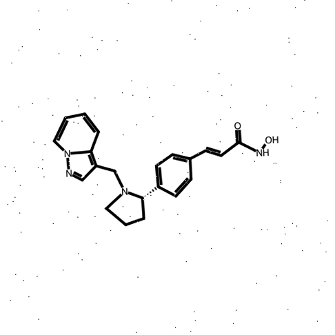 O=C(/C=C/c1ccc([C@@H]2CCCN2Cc2cnn3ccccc23)cc1)NO